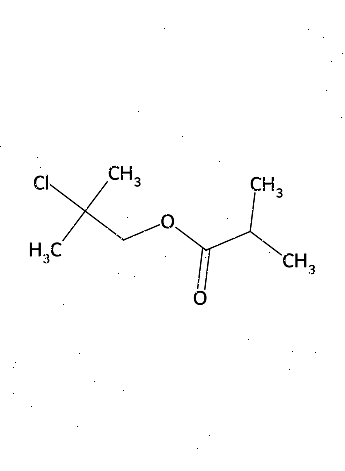 CC(C)C(=O)OCC(C)(C)Cl